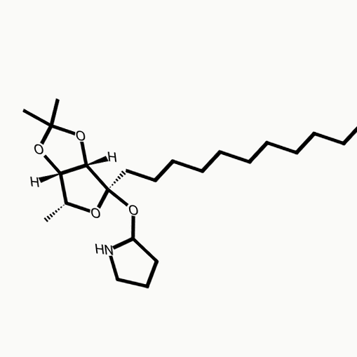 CCCCCCCCCCC[C@]1(OC2CCCN2)O[C@H](C)[C@@H]2OC(C)(C)O[C@@H]21